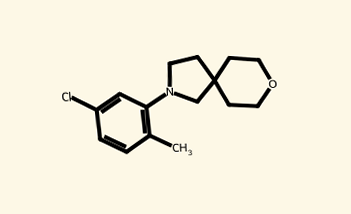 Cc1ccc(Cl)cc1N1CCC2(CCOCC2)C1